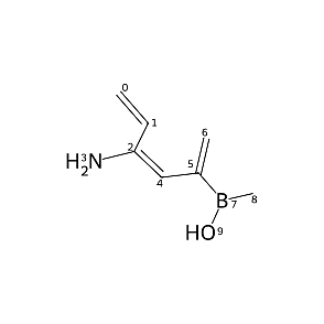 C=C/C(N)=C\C(=C)B(C)O